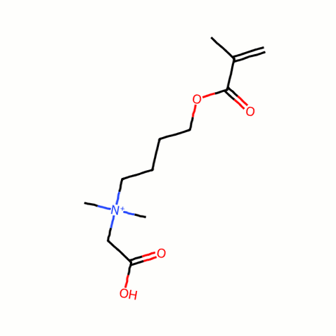 C=C(C)C(=O)OCCCC[N+](C)(C)CC(=O)O